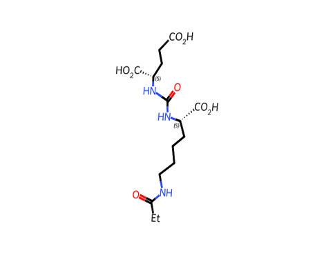 CCC(=O)NCCCC[C@H](NC(=O)N[C@@H](CCC(=O)O)C(=O)O)C(=O)O